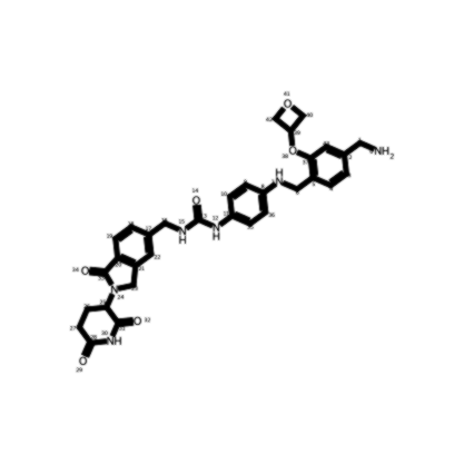 NCc1ccc(CNc2ccc(NC(=O)NCc3ccc4c(c3)CN(C3CCC(=O)NC3=O)C4=O)cc2)c(OC2COC2)c1